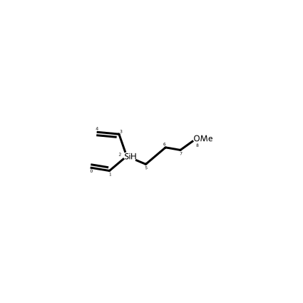 C=C[SiH](C=C)CCCOC